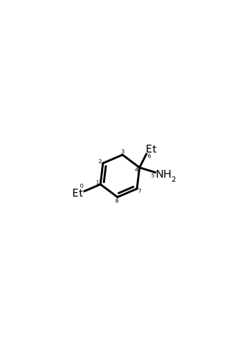 CCC1=CCC(N)(CC)C=C1